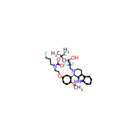 COc1ccc(OCCN(CCCF)C(=O)OC(C)(C)C)cc1[C@@H]1c2[nH]c3ccccc3c2CCN1CC(F)(F)CO